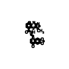 Cn1cnc([N+](=O)[O-])c1Sc1ccccc1C(=O)NCCn1ccc(=O)c2cc3c(cc21)OCO3